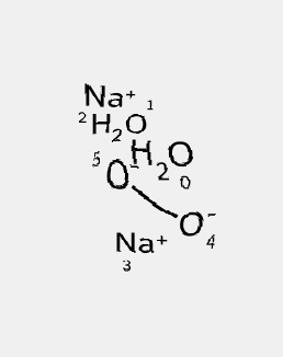 O.O.[Na+].[Na+].[O-][O-]